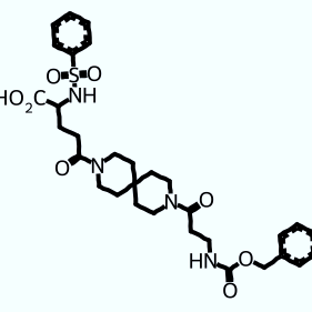 O=C(NCCC(=O)N1CCC2(CC1)CCN(C(=O)CCC(NS(=O)(=O)c1ccccc1)C(=O)O)CC2)OCc1ccccc1